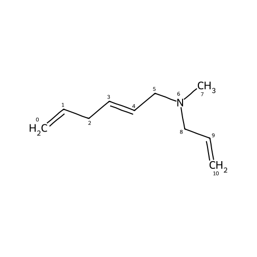 C=CCC=CCN(C)CC=C